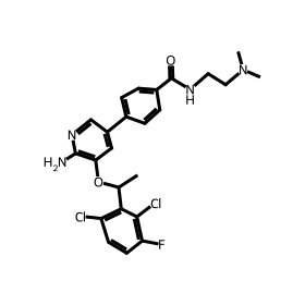 CC(Oc1cc(-c2ccc(C(=O)NCCN(C)C)cc2)cnc1N)c1c(Cl)ccc(F)c1Cl